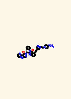 Cc1nn2cccnc2c1C(=O)N[C@H](C)c1nc2cccc(C#Cc3cnn(CCN4CCC(N)CC4)c3)c2c(=O)n1-c1ccccc1